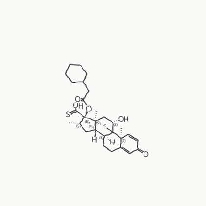 C[C@H]1C[C@H]2[C@@H]3CCC4=CC(=O)C=C[C@]4(C)C3(F)[C@@H](O)C[C@]2(C)[C@@]1(OC(=O)CC1CCCCC1)C(O)=S